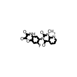 Cn1c(=O)n(-c2cc3[nH]c(=O)c(=O)oc3cc2F)c(=O)c2cccnc21